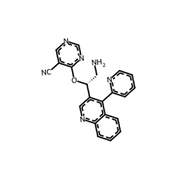 N#Cc1cncnc1O[C@H](CN)c1cnc2ccccc2c1-c1ccccn1